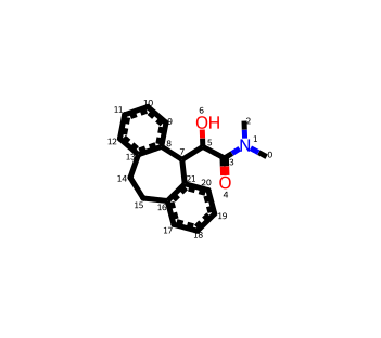 CN(C)C(=O)C(O)C1c2ccccc2CCc2ccccc21